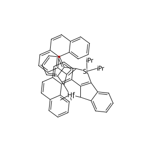 CC(C)[Si]1(C(C)C)C2=C(c3cccc4ccc5ccccc5c34)[CH](c3ccccc32)[Hf]([CH3])([CH3])[CH]2C(c3cccc4ccc5ccccc5c34)=C1c1ccccc12